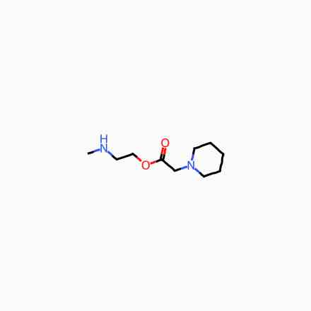 CNCCOC(=O)CN1CCCCC1